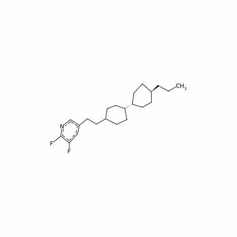 CCC[C@H]1CC[C@H](C2CCC(CCc3cnc(F)c(F)c3)CC2)CC1